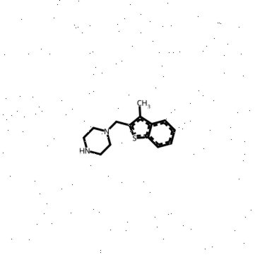 Cc1c(CN2CCNCC2)sc2ccccc12